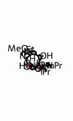 CCCN1CC[C@H](C(=O)N(C)[C@H](C(=O)N[C@H]2Cc3cc(O)cc(c3)-c3ccc4c(c3)c(c(-c3cnccc3COC)n4CC)CC(C)(C)COC(=O)[C@@]3(O)CCCN(N3)C2=O)C(C)C)C1